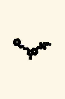 CNS(=O)(=O)CCc1ccc2[nH]cc(CC/N=C/c3ccccc3)c2c1